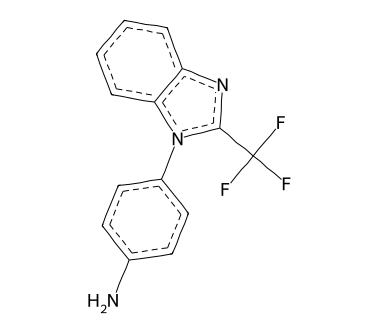 Nc1ccc(-n2c(C(F)(F)F)nc3ccccc32)cc1